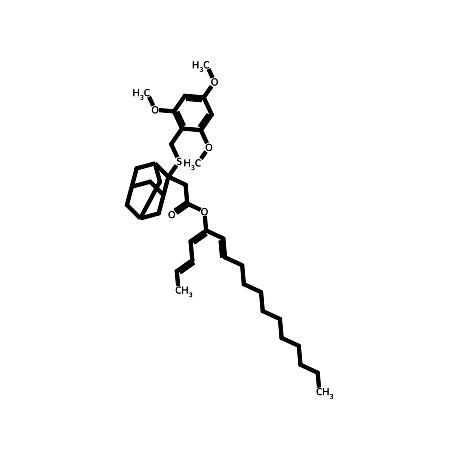 CC=CC=C(C=CCCCCCCCCCC)OC(=O)CC1(SCc2c(OC)cc(OC)cc2OC)C2CC3CC(C2)CC1C3